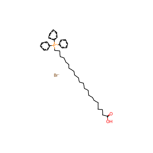 O=C(O)CCCCCCCCCCCCCCCCCCCCC[P+](c1ccccc1)(c1ccccc1)c1ccccc1.[Br-]